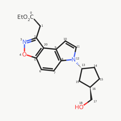 CCOC(=O)Cc1noc2ccc3c(ccn3[C@@H]3CC[C@@H](CO)C3)c12